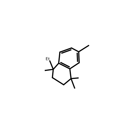 CCC1(C)CCC(C)(C)c2cc(C)ccc21